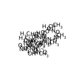 CC[C@H](C)[C@H](NC(=O)[C@@H](Cc1ccccc1)NC)C(=O)N[C@@H](CO)C(=O)N[C@H](CCC(N)=O)C(=O)N[C@@H](C(=O)N[C@H](C(=O)N[C@@H](CO)C(=O)N[C@H]1C(=O)N[C@@H](C)C(=O)N[C@@H](C)C(=O)N[C@@H]([C@@H](C)CC)C(=O)O[C@H]1C)[C@@H](C)CC)[C@@H](C)CC